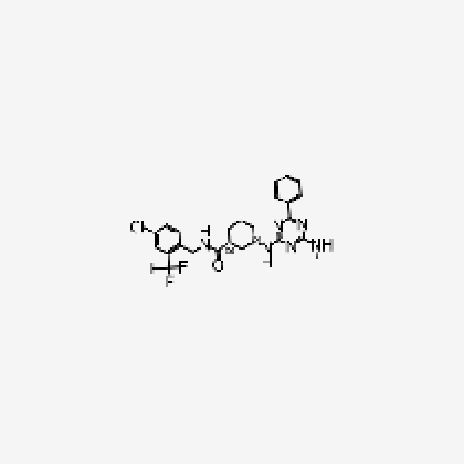 CNc1nc(N[C@@H]2CCC[C@H](C(=O)NCc3ccc(Cl)cc3C(F)(F)F)C2)nc(-c2ccccc2)n1